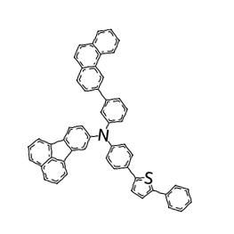 c1ccc(-c2ccc(-c3ccc(N(c4cccc(-c5ccc6ccc7ccccc7c6c5)c4)c4ccc5c(c4)-c4cccc6cccc-5c46)cc3)s2)cc1